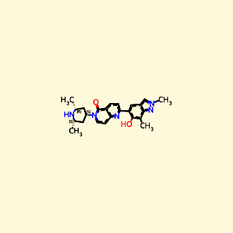 Cc1c(O)c(-c2ccc3c(=O)n([C@@H]4C[C@@H](C)N[C@@H](C)C4)ccc3n2)cc2cn(C)nc12